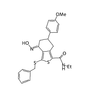 CCNC(=O)c1sc(SCc2ccccc2)c2c1CC(c1ccc(OC)cc1)C/C2=N\O